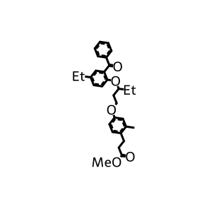 CCc1ccc(OC(CC)CCOc2ccc(CCC(=O)OC)c(C)c2)c(C(=O)c2ccccc2)c1